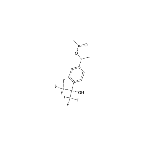 CC(=O)OC(C)c1ccc(C(O)(C(F)(F)F)C(F)(F)F)cc1